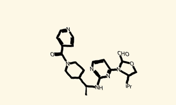 CC(C)C1COC(C=O)N1c1ccnc(N[C@@H](C)C2CCN(C(=O)c3ccncc3)CC2)n1